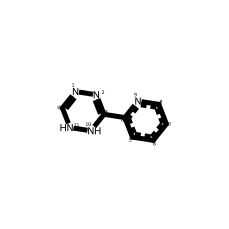 C1=NN=C(c2ccccn2)NN1